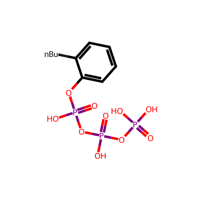 CCCCc1ccccc1OP(=O)(O)OP(=O)(O)OP(=O)(O)O